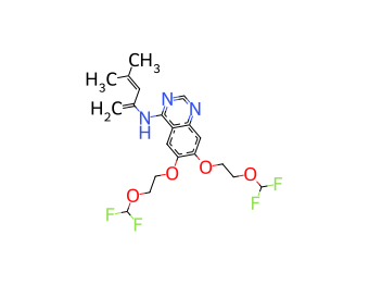 C=C(C=C(C)C)Nc1ncnc2cc(OCCOC(F)F)c(OCCOC(F)F)cc12